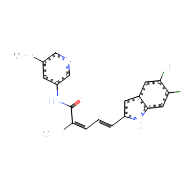 COC(=CC=Cc1cc2cc(Cl)c(Cl)cc2[nH]1)C(=O)Nc1cncc(OC)c1